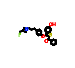 O=C(c1ccccc1)c1sc2cc(O)ccc2c1Oc1ccc(CCCN2CC(CF)C2)cc1